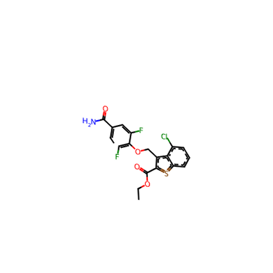 C\C=C(/C=C(F)\C(=C\F)OCc1c(C(=O)OCC)sc2cccc(Cl)c12)C(N)=O